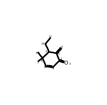 C=C1C(=O)C=CC(C)(C)C1CC